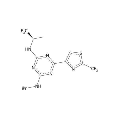 CC(C)Nc1nc(N[C@H](C)C(F)(F)F)nc(-c2csc(C(F)(F)F)n2)n1